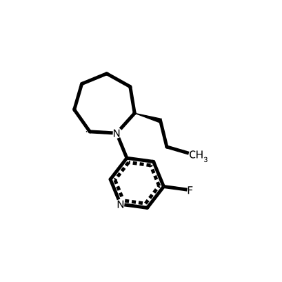 CCC[C@@H]1CCCC[CH]N1c1cncc(F)c1